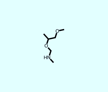 CNCOC(C)COC